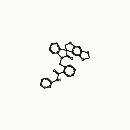 O=C(Nc1ccccc1)c1ccccc1CN1C(=O)C2(COc3cc4c(cc32)OCO4)c2ccccc21